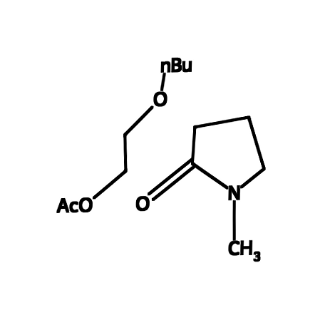 CCCCOCCOC(C)=O.CN1CCCC1=O